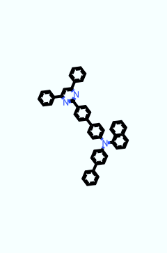 c1ccc(-c2ccc(N(c3ccc(-c4ccc(-c5nc(-c6ccccc6)cc(-c6ccccc6)n5)cc4)cc3)c3cccc4ccccc34)cc2)cc1